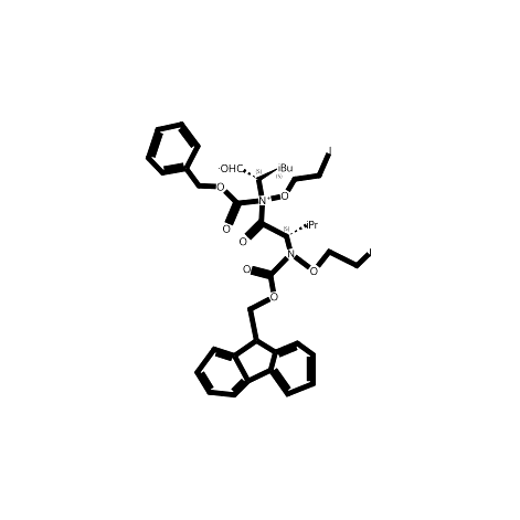 CC[C@H](C)[C@@H]([C]=O)[N+](OCCI)(C(=O)OCc1ccccc1)C(=O)[C@H](C(C)C)N(OCCI)C(=O)OCC1c2ccccc2-c2ccccc21